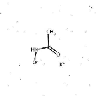 CC(=O)N[O-].[K+]